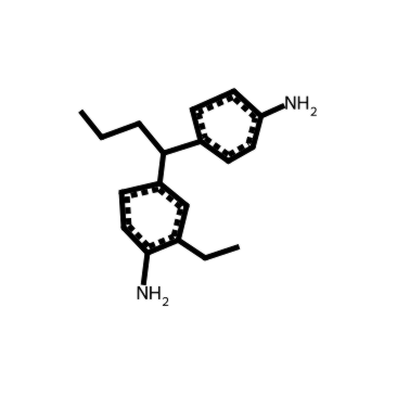 CCCC(c1ccc(N)cc1)c1ccc(N)c(CC)c1